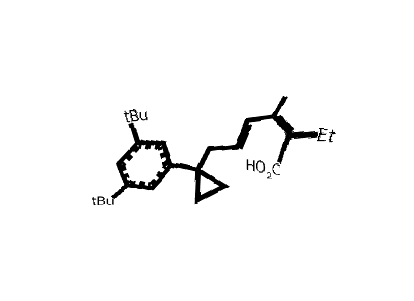 CCC(C(=O)O)=C(C)C=CCC1(c2cc(C(C)(C)C)cc(C(C)(C)C)c2)CC1